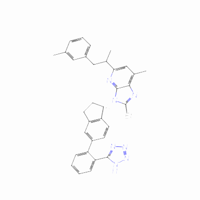 CCc1nc2c(C)cc(C(C)Cc3cccc(C)c3)nc2n1[C@H]1CCc2cc(-c3ccccc3-c3nnn[nH]3)ccc21